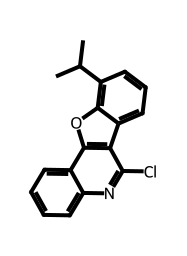 CC(C)c1cccc2c1oc1c3ccccc3nc(Cl)c21